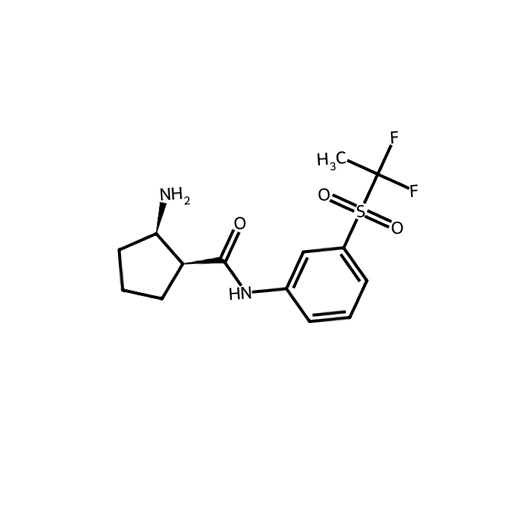 CC(F)(F)S(=O)(=O)c1cccc(NC(=O)[C@H]2CCC[C@H]2N)c1